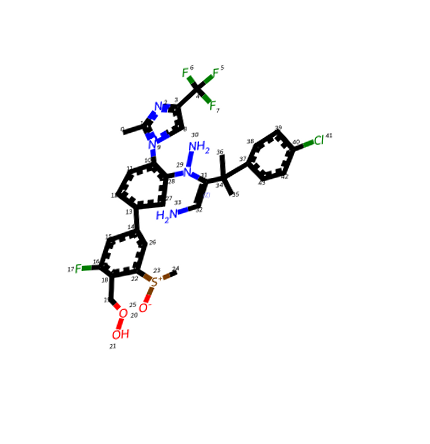 Cc1nc(C(F)(F)F)cn1-c1ccc(-c2cc(F)c(COO)c([S+](C)[O-])c2)cc1N(N)/C(=C\N)C(C)(C)c1ccc(Cl)cc1